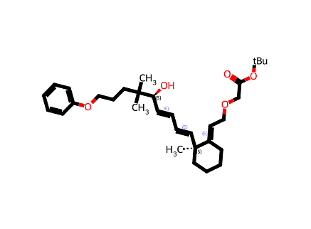 CC(C)(C)OC(=O)COC/C=C1\CCCC[C@@]1(C)/C=C/C=C/[C@H](O)C(C)(C)CCCOc1ccccc1